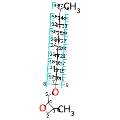 CC1COC1COC(F)(F)C(F)(F)C(F)(F)C(F)(F)C(F)(F)C(F)(F)C(F)(F)C(F)(F)C(F)(F)C(F)(F)C(C)F